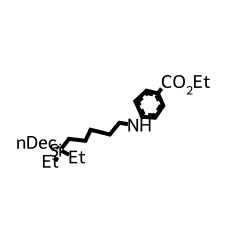 CCCCCCCCCC[Si](CC)(CC)CCCCCNc1ccc(C(=O)OCC)cc1